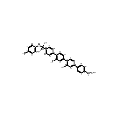 CCCCCc1ccc(-c2ccc(-c3ccc(-c4ccc(C(F)(F)Oc5ccc(F)cc5)cc4)c(F)c3)c(F)c2)cc1